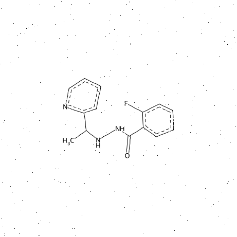 CC(NNC(=O)c1ccccc1F)c1ccccn1